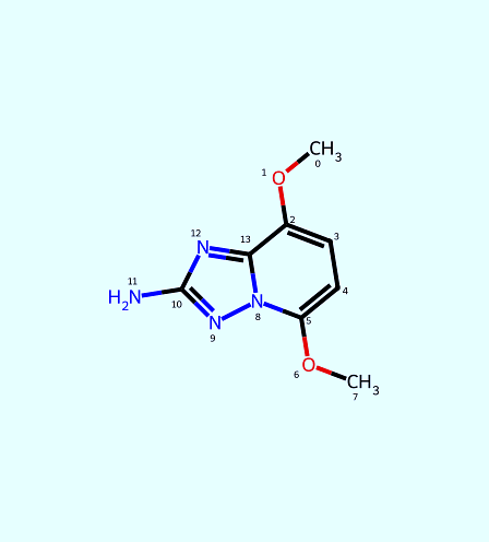 COc1ccc(OC)n2nc(N)nc12